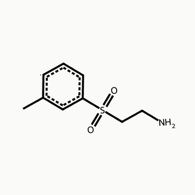 Cc1[c]ccc(S(=O)(=O)CCN)c1